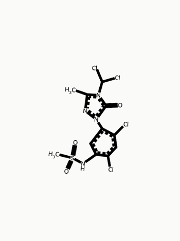 Cc1nn(-c2cc(NS(C)(=O)=O)c(Cl)cc2Cl)c(=O)n1C(Cl)Cl